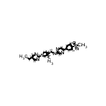 CCc1cnc(N2CC3[C@@H](CNc4cnc(-c5ccc(S(C)(=O)=O)cc5)cn4)[C@]3(C)C2)nc1